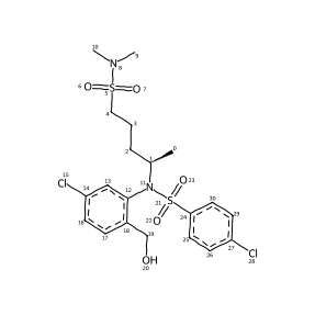 C[C@H](CCCS(=O)(=O)N(C)C)N(c1cc(Cl)ccc1CO)S(=O)(=O)c1ccc(Cl)cc1